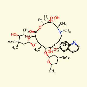 CC[C@H]1OC(=O)[C@H](C)[C@@H](O[C@H]2C[C@@](C)(OC)[C@@H](O)[C@H](C)O2)[C@H](C)[C@@H](O[C@@H]2O[C@H](C)C[C@H](NC)[C@H]2Oc2ccc3ncccc3c2)[C@](C)(O)C[C@@H](C)CN(C)[C@H](C)[C@@H](O)[C@]1(C)O